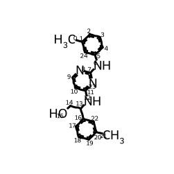 Cc1cccc(Nc2nccc(NC(CO)c3cccc(C)c3)n2)c1